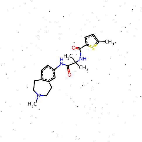 Cc1ccc(C(=O)NC(C)(C)C(=O)Nc2ccc3c(c2)CCN(C)CC3)s1